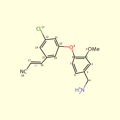 COc1cc(CN)ccc1Oc1cc(Cl)cc(/C=C/C#N)c1